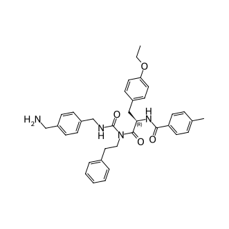 CCOc1ccc(C[C@@H](NC(=O)c2ccc(C)cc2)C(=O)N(CCc2ccccc2)C(=O)NCc2ccc(CN)cc2)cc1